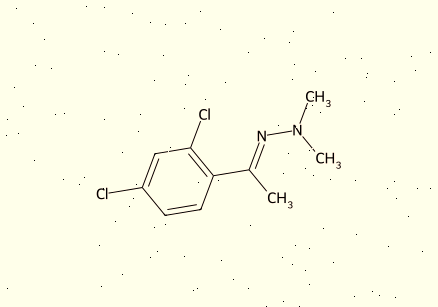 CC(=NN(C)C)c1ccc(Cl)cc1Cl